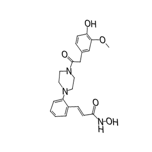 COc1cc(CC(=O)N2CCN(c3ccccc3C=CC(=O)NO)CC2)ccc1O